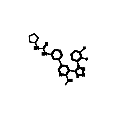 CNc1ncc(-c2cccc(NC(=O)NC3CCCC3)c2)cc1-c1nnnn1-c1cccc(F)c1F